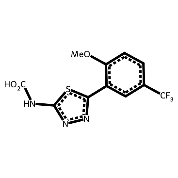 COc1ccc(C(F)(F)F)cc1-c1nnc(NC(=O)O)s1